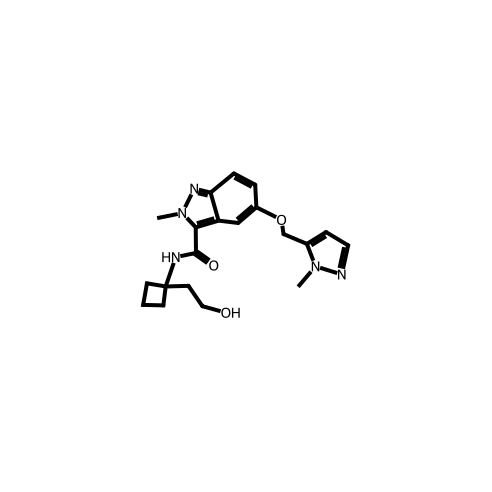 Cn1nccc1COc1ccc2nn(C)c(C(=O)NC3(CCO)CCC3)c2c1